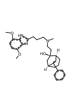 COc1ccc(OC)c2[nH]c(CCCN(C)CC[C@@]3(O)C[C@@H]4CCC[C@H]3C=C4c3ccccc3)nc12